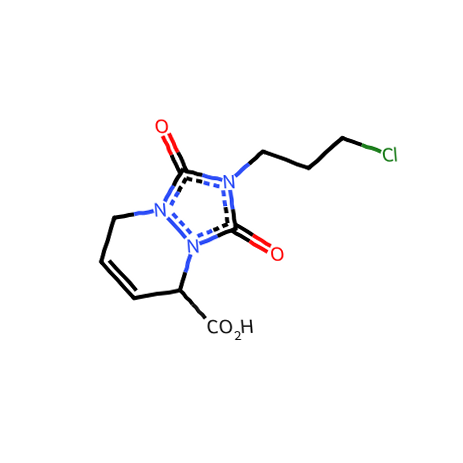 O=C(O)C1C=CCn2c(=O)n(CCCCl)c(=O)n21